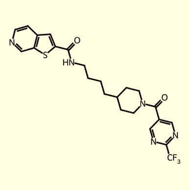 O=C(NCCCCC1CCN(C(=O)c2cnc(C(F)(F)F)nc2)CC1)c1cc2ccncc2s1